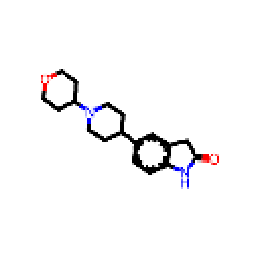 O=C1Cc2cc(C3CCN(C4CCOCC4)CC3)ccc2N1